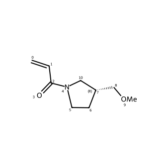 C=CC(=O)N1CC[C@@H](COC)C1